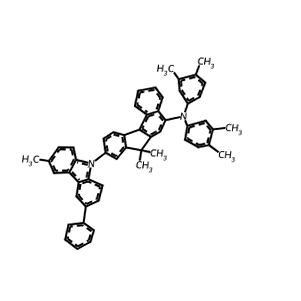 Cc1ccc2c(c1)c1cc(-c3ccccc3)ccc1n2-c1ccc2c(c1)C(C)(C)c1cc(N(c3ccc(C)c(C)c3)c3ccc(C)c(C)c3)c3ccccc3c1-2